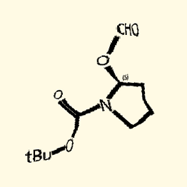 CC(C)(C)OC(=O)N1CCC[C@@H]1OC=O